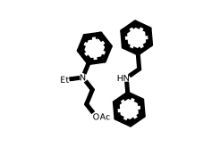 CCN(CCOC(C)=O)c1ccccc1.c1ccc(CNc2ccccc2)cc1